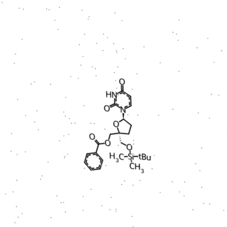 CC(C)(C)[Si](C)(C)OC[C@@]1(COC(=O)c2ccccc2)CC[C@H](n2ccc(=O)[nH]c2=O)O1